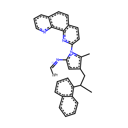 CCC/C=N\c1cc(CC(C)c2cccc3ccccc23)c(C)n1-c1ccc2ccc3cccnc3c2n1